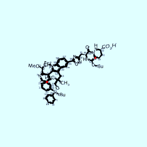 CCn1c(-c2cccnc2[C@H](C)OC)c(CC(C)(C)CO[Si](c2ccccc2)(c2ccccc2)C(C)(C)C)c2cc(-c3nc(C[C@H](NC(=O)OC(C)(C)C)C(=O)N4CCC[C@@H](C(=O)O)N4)no3)ccc21